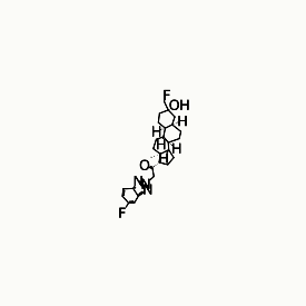 C[C@]12CC[C@H]3[C@@H](CC[C@@H]4C[C@@](O)(CF)CC[C@@H]43)[C@@H]1CC[C@@H]2C(=O)Cn1nc2ccc(F)cc2n1